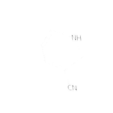 N#CC1=CC=CNC1